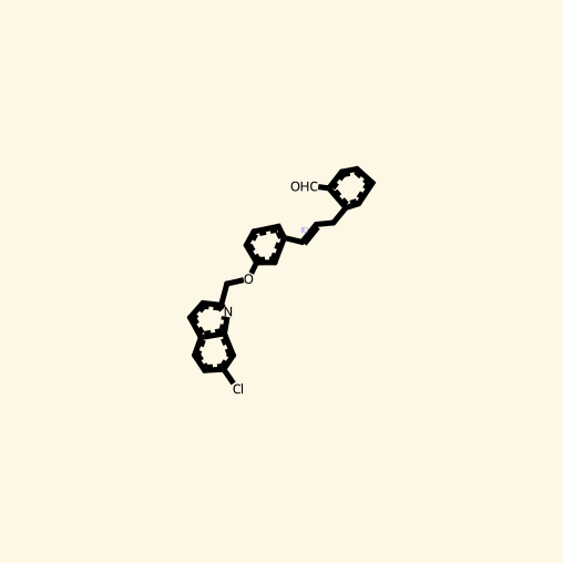 O=Cc1ccccc1C/C=C/c1cccc(OCc2ccc3ccc(Cl)cc3n2)c1